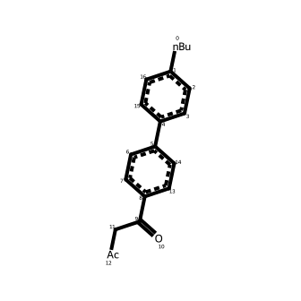 CCCCc1ccc(-c2ccc(C(=O)CC(C)=O)cc2)cc1